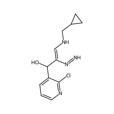 N=N/C(=C\NCC1CC1)C(O)c1cccnc1Cl